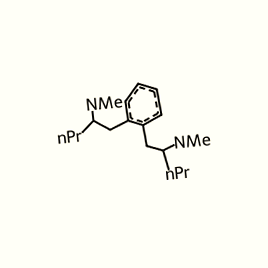 CCCC(Cc1ccccc1CC(CCC)NC)NC